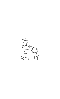 CCC(COC(=O)C(C)(C)C)(NC(=O)OC(C)(C)C)c1cccc(C(F)(F)F)c1